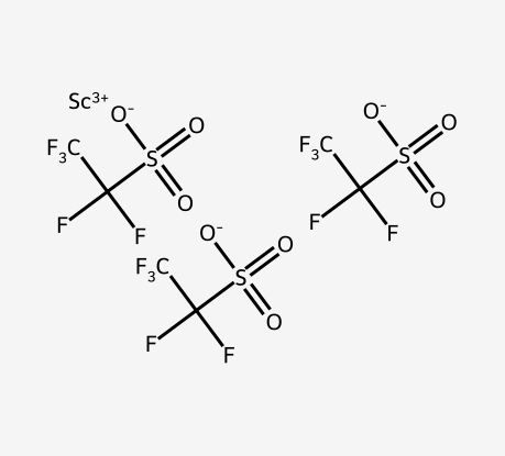 O=S(=O)([O-])C(F)(F)C(F)(F)F.O=S(=O)([O-])C(F)(F)C(F)(F)F.O=S(=O)([O-])C(F)(F)C(F)(F)F.[Sc+3]